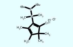 CC1=C(C)C(C)(C)[C]([Cr+2])=C1[Si](C)(C)P(C(C)(C)C)C(C)(C)C.[Cl-].[Cl-]